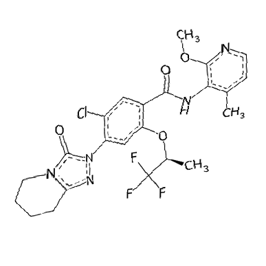 COc1nccc(C)c1NC(=O)c1cc(Cl)c(-n2nc3n(c2=O)CCCC3)cc1O[C@@H](C)C(F)(F)F